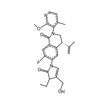 C=C(C)[C@H]1CN(c2c(C)ccnc2OC)C(=O)c2cc(F)c(N3C=C(CO)C(CC)C3=O)cc21